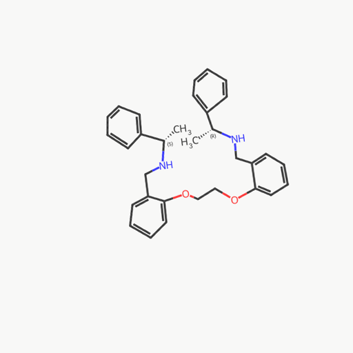 C[C@H](NCc1ccccc1OCCOc1ccccc1CN[C@H](C)c1ccccc1)c1ccccc1